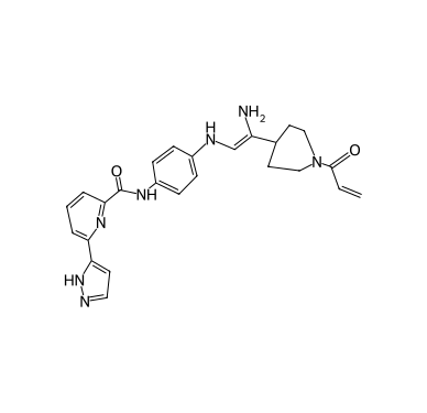 C=CC(=O)N1CCC(/C(N)=C/Nc2ccc(NC(=O)c3cccc(-c4ccn[nH]4)n3)cc2)CC1